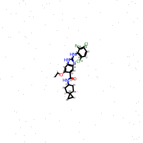 CCOc1cc2[nH]c(Nc3c(Cl)ccc(Cl)c3F)nc2cc1C(=O)NC1CCC2(CC1)CC2